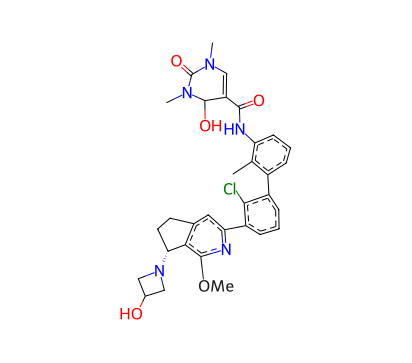 COc1nc(-c2cccc(-c3cccc(NC(=O)C4=CN(C)C(=O)N(C)C4O)c3C)c2Cl)cc2c1[C@H](N1CC(O)C1)CC2